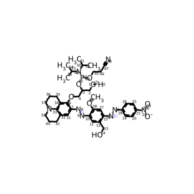 [2H]OCC(COc1c(/N=N/c2cc(CO)c(/N=N/c3ccc([N+](=O)[O-])cc3)cc2OC)cc2c3c1CCCN3CCC2)OP(OCCC#N)N(C(C)C)C(C)C